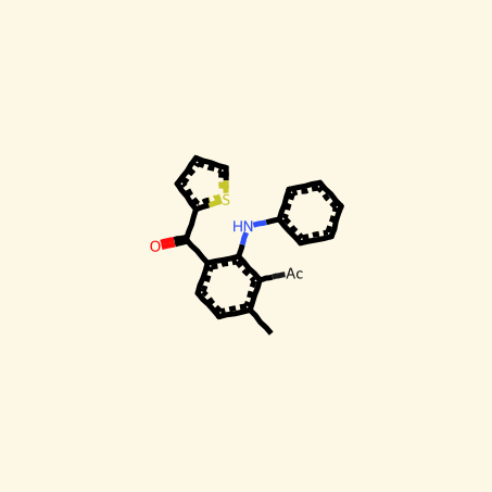 CC(=O)c1c(C)ccc(C(=O)c2cccs2)c1Nc1ccccc1